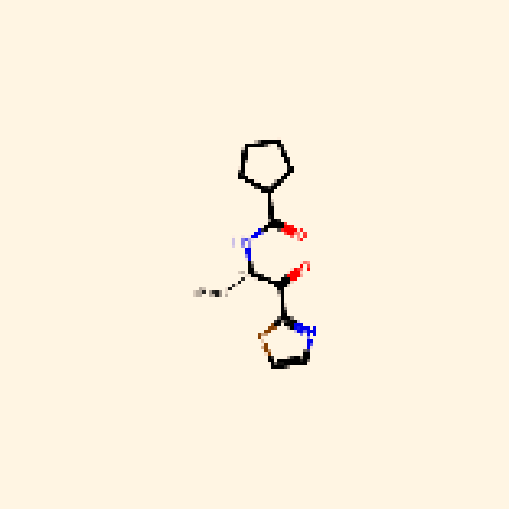 CCCCC[C@H](NC(=O)C1CCCC1)C(=O)c1nccs1